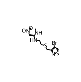 CNC(=C[N+](=O)[O-])NCCSCc1nscc1Br